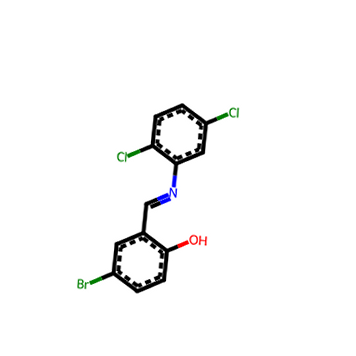 Oc1ccc(Br)cc1/C=N/c1cc(Cl)ccc1Cl